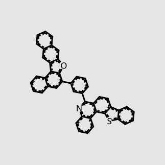 c1cc(-c2nc3ccccc3c3c2ccc2c4ccccc4sc23)cc(-c2cc3ccccc3c3c2oc2cc4ccccc4cc23)c1